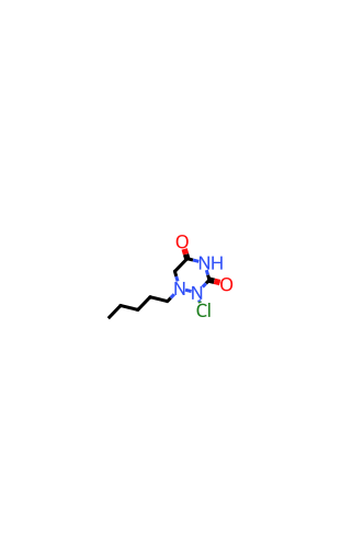 CCCCCN1CC(=O)NC(=O)N1Cl